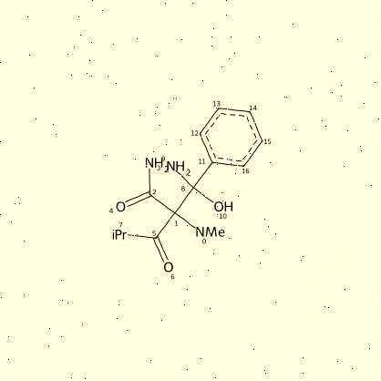 CNC(C(N)=O)(C(=O)C(C)C)C(N)(O)c1ccccc1